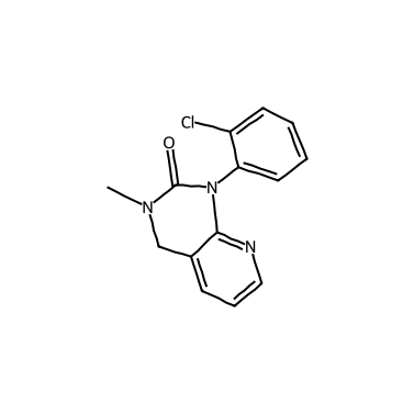 CN1Cc2cccnc2N(c2ccccc2Cl)C1=O